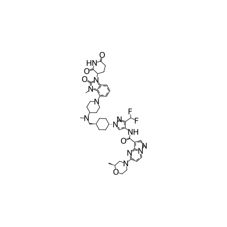 C[C@H]1CN(c2ccn3ncc(C(=O)Nc4cn([C@H]5CC[C@H](CN(C)C6CCN(c7cccc8c7n(C)c(=O)n8C7CCC(=O)NC7=O)CC6)CC5)nc4C(F)F)c3n2)CCO1